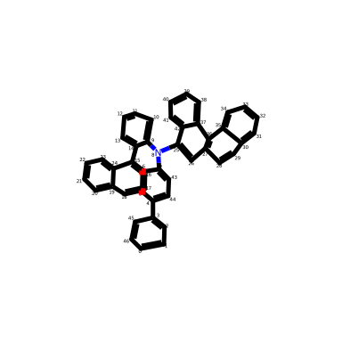 c1ccc(-c2ccc(N(c3ccccc3-c3cccc4ccccc34)c3cc4ccc5ccccc5c4c4ccccc34)cc2)cc1